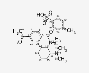 CC(=O)c1ccc(C(=O)N(C)C2CCCCC2N(C)C)cc1.Cc1ccc(S(=O)(=O)O)cc1